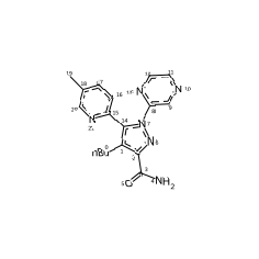 CCCCc1c(C(N)=O)nn(-c2cnccn2)c1-c1ccc(C)cn1